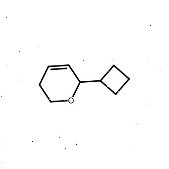 C1=CC(C2CCC2)OCC1